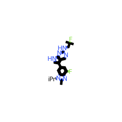 Cc1nc2c(F)cc(-c3c[nH]c4nc(NCC(C)(C)F)ncc34)cc2n1C(C)C